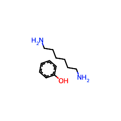 NCCCCCCN.Oc1ccccc1